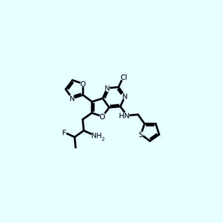 CC(F)C(N)Cc1oc2c(NCc3cccs3)nc(Cl)nc2c1-c1ncco1